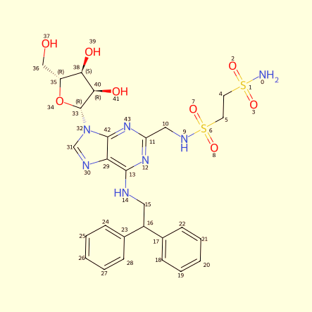 NS(=O)(=O)CCS(=O)(=O)NCc1nc(NCC(c2ccccc2)c2ccccc2)c2ncn([C@@H]3O[C@H](CO)[C@@H](O)[C@H]3O)c2n1